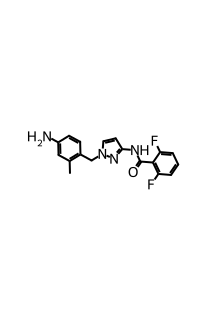 Cc1cc(N)ccc1Cn1ccc(NC(=O)c2c(F)cccc2F)n1